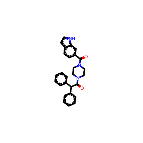 O=C(c1ccc2cc[nH]c2c1)N1CCN(C(=O)C(c2ccccc2)c2ccccc2)CC1